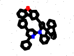 c1ccc(-c2cc(-c3ccccc3)nc(N3c4ccccc4C4(c5ccccc5-c5ccccc54)c4ccc(-c5ccc6oc7ccccc7c6c5)cc43)c2)cc1